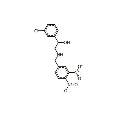 O=[N+]([O-])c1ccc(CNCC(O)c2cccc(Cl)c2)cc1[N+](=O)[O-]